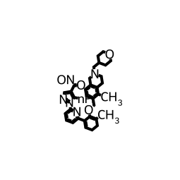 CCCc1c(C(=O)N=O)cnn1-c1cccc(C2=CCCC(C)=C2OCc2ccc3c(c2C)CCN(CC2CCOCC2)C3)n1